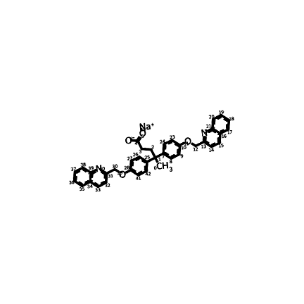 CC(CCC(=O)[O-])(c1ccc(OCc2ccc3ccccc3n2)cc1)c1ccc(OCc2ccc3ccccc3n2)cc1.[Na+]